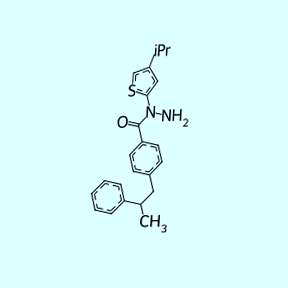 CC(C)c1csc(N(N)C(=O)c2ccc(CC(C)c3ccccc3)cc2)c1